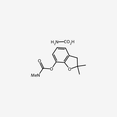 CNC(=O)Oc1cccc2c1OC(C)(C)C2.NC(=O)O